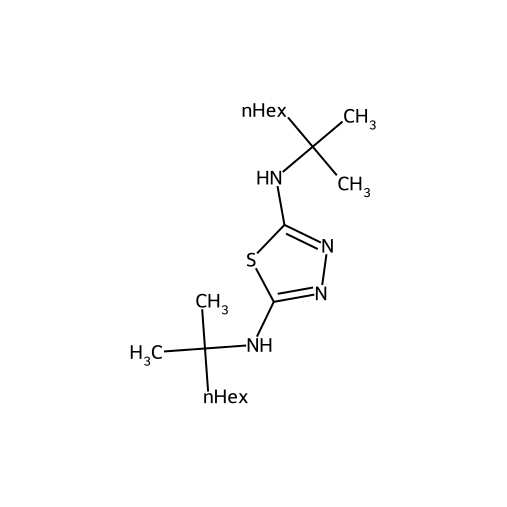 CCCCCCC(C)(C)Nc1nnc(NC(C)(C)CCCCCC)s1